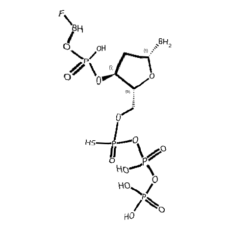 B[C@H]1C[C@H](OP(=O)(O)OBF)[C@@H](COP(=O)(S)OP(=O)(O)OP(=O)(O)O)O1